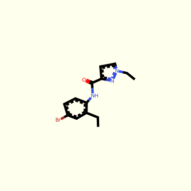 CCc1cc(Br)ccc1NC(=O)c1ccn(CC)n1